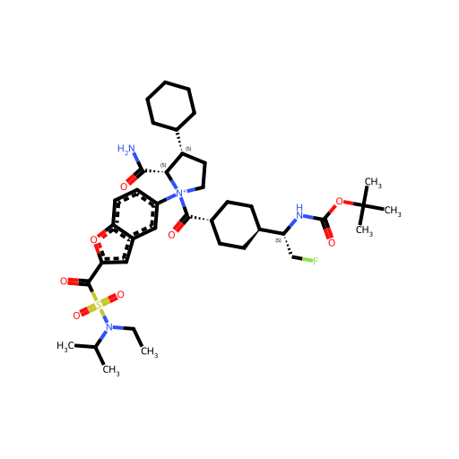 CCN(C(C)C)S(=O)(=O)C(=O)c1cc2cc([N+]3(C(=O)[C@H]4CC[C@H]([C@@H](CF)NC(=O)OC(C)(C)C)CC4)CC[C@@H](C4CCCCC4)[C@H]3C(N)=O)ccc2o1